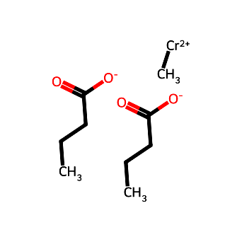 CCCC(=O)[O-].CCCC(=O)[O-].[CH3][Cr+2]